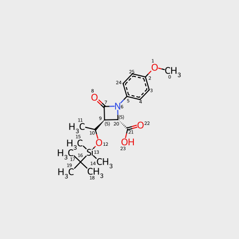 COc1ccc(N2C(=O)[C@H](C(C)O[Si](C)(C)C(C)(C)C)[C@H]2C(=O)O)cc1